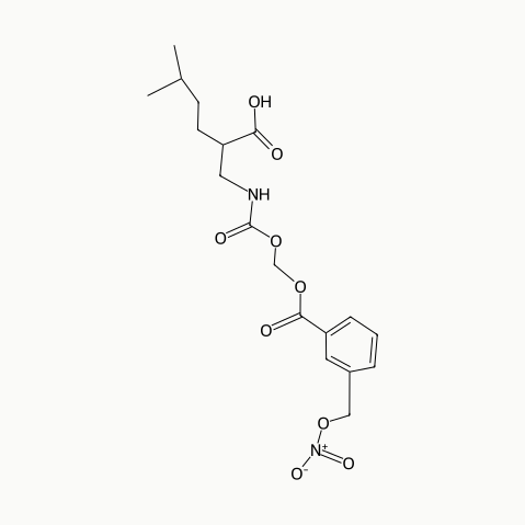 CC(C)CCC(CNC(=O)OCOC(=O)c1cccc(CO[N+](=O)[O-])c1)C(=O)O